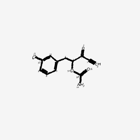 C#CC(=O)C(Cc1cccc(Cl)c1)OC(N)=O